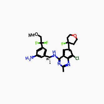 COCC(F)(F)c1cc(N)cc([C@@H](C)Nc2nc(C)nc3c(Cl)cc(C4(F)CCOCC4)cc23)c1